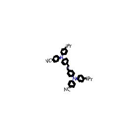 CC(C)c1ccc(N(c2ccc(C#N)cc2)c2ccc(/C=C/c3ccc(N(c4ccc(C#N)cc4)c4ccc(C(C)C)cc4)cc3)cc2)cc1